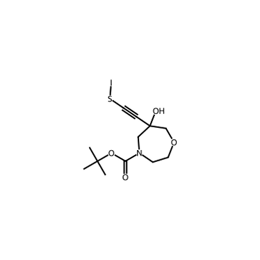 CC(C)(C)OC(=O)N1CCOCC(O)(C#CSI)C1